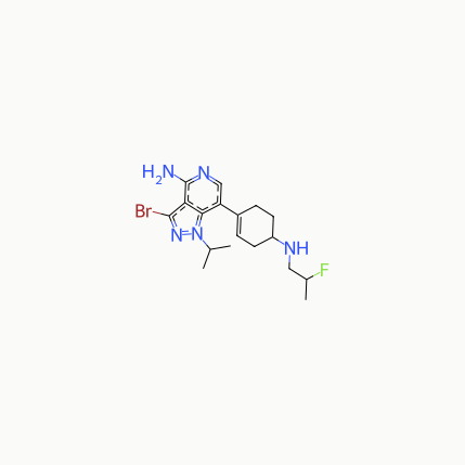 CC(F)CNC1CC=C(c2cnc(N)c3c(Br)nn(C(C)C)c23)CC1